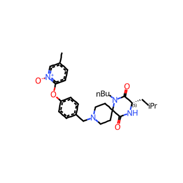 CCCCN1C(=O)[C@H](CC(C)C)NC(=O)C12CCN(Cc1ccc(Oc3ccc(C)c[n+]3[O-])cc1)CC2